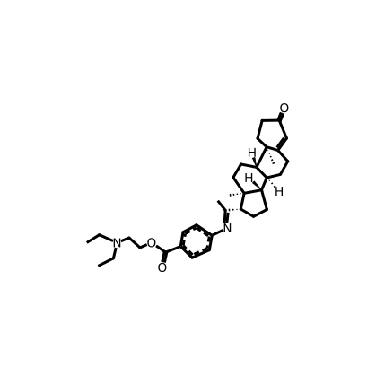 CCN(CC)CCOC(=O)c1ccc(/N=C(\C)[C@H]2CC[C@H]3[C@@H]4CCC5=CC(=O)CC[C@]5(C)[C@H]4CC[C@]23C)cc1